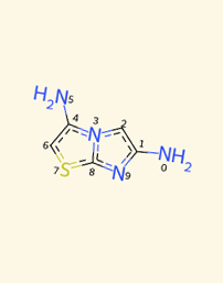 Nc1cn2c(N)csc2n1